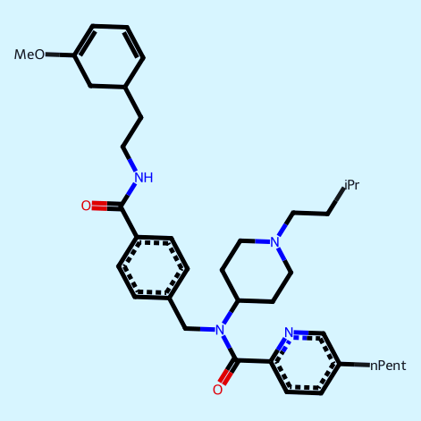 CCCCCc1ccc(C(=O)N(Cc2ccc(C(=O)NCCC3C=CC=C(OC)C3)cc2)C2CCN(CCC(C)C)CC2)nc1